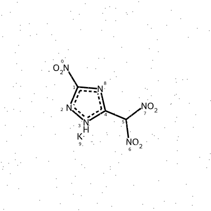 O=[N+]([O-])c1n[nH]c(C([N+](=O)[O-])[N+](=O)[O-])n1.[K]